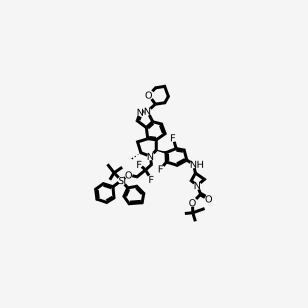 C[C@@H]1Cc2c(ccc3c2cnn3C2CCCCO2)[C@@H](c2c(F)cc(NC3CN(C(=O)OC(C)(C)C)C3)cc2F)N1CC(F)(F)CO[Si](c1ccccc1)(c1ccccc1)C(C)(C)C